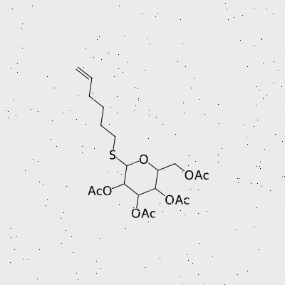 C=CCCCCSC1OC(COC(C)=O)C(OC(C)=O)C(OC(C)=O)C1OC(C)=O